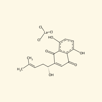 CC(C)=CC[C@@H](O)C1=CC(=O)c2c(O)ccc(O)c2C1=O.[Cl][La]([Cl])[Cl]